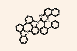 c1ccc(-c2ccccc2-c2nc3c(ccc4ccccc43)nc2-n2c3cccc4c5cccc6c7ccccc7n(c7cccc2c7c43)c56)cc1